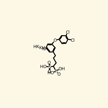 O=P(O)(O)C(CCCc1cccc(Oc2ccc(Cl)c(Cl)c2)c1)S(=O)(=O)O.[KH].[KH].[KH]